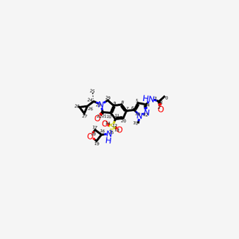 CC(=O)Nc1cc(-c2cc3c(c(S(=O)(=O)NC4COC4)c2)C(=O)N([C@@H](C)C2CC2)C3)n(C)n1